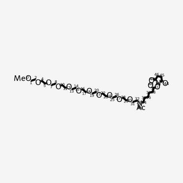 COCCOCCOCCOCCOCCOCCOCCOCCOCCOCCOCCN(CCCCCC(=O)ON1C(=O)CCC1=O)C(C)=O